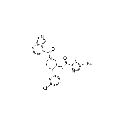 CC(C)(C)c1cnc(C(=O)N[C@@H]2CN(C(=O)c3cccn4cncc34)CC[C@H]2c2cccc(Cl)c2)[nH]1